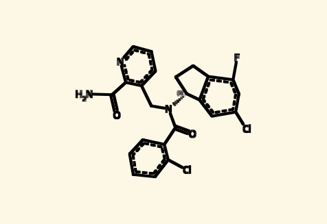 NC(=O)c1ncccc1CN(C(=O)c1ccccc1Cl)[C@@H]1CCc2c(F)cc(Cl)cc21